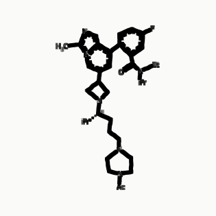 CCN(C(=O)c1cc(F)ccc1-c1cc(C2CN([C@H](CCCN3CCN(C(C)=O)CC3)C(C)C)C2)cn2c(C)ncc12)C(C)C